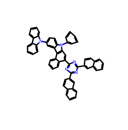 c1ccc(-n2c3ccc(-n4c5ccccc5c5ccccc54)cc3c3c4ccccc4c(-c4nc(-c5ccc6ccccc6c5)nc(-c5ccc6ccccc6c5)n4)cc32)cc1